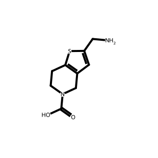 NCc1cc2c(s1)CCN(C(=O)O)C2